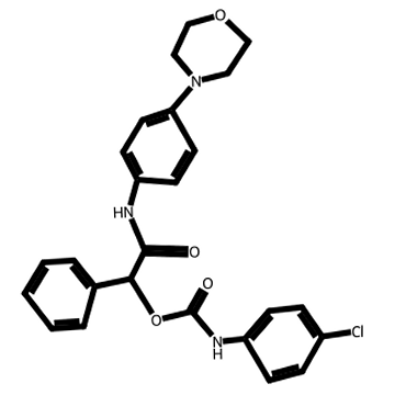 O=C(Nc1ccc(Cl)cc1)OC(C(=O)Nc1ccc(N2CCOCC2)cc1)c1ccccc1